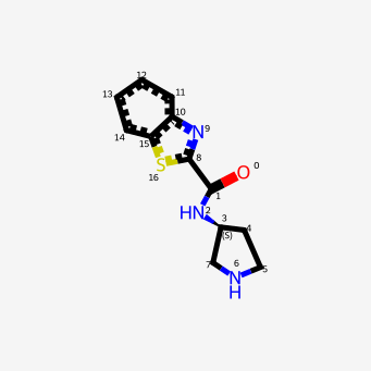 O=C(N[C@H]1CCNC1)c1nc2ccccc2s1